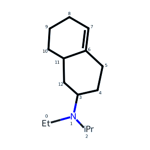 CCN(C(C)C)C1CCC2=CCCCC2C1